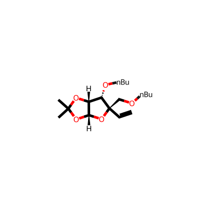 C=C[C@]1(COCCCC)O[C@@H]2OC(C)(C)O[C@@H]2[C@@H]1OCCCC